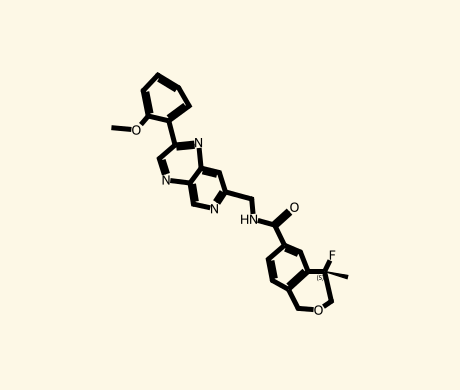 COc1ccccc1-c1cnc2cnc(CNC(=O)c3ccc4c(c3)[C@](C)(F)COC4)cc2n1